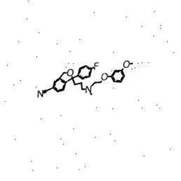 COc1cccc(OCCN(C)CCCC2(c3ccc(F)cc3)OCc3cc(C#N)ccc32)c1